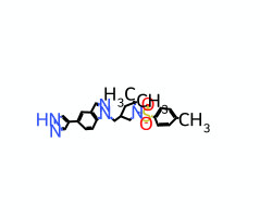 Cc1ccc(S(=O)(=O)N2CC(Cn3ncc4cc(-c5cn[nH]c5)ccc43)CC2(C)C)cc1